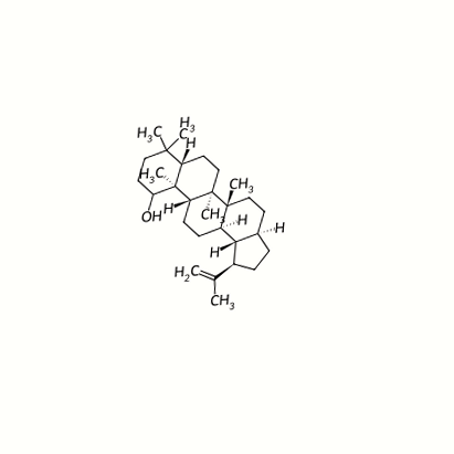 C=C(C)[C@@H]1CC[C@@H]2CC[C@]3(C)[C@H](CC[C@@H]4[C@@]5(C)C(O)CCC(C)(C)[C@@H]5CC[C@]43C)[C@H]21